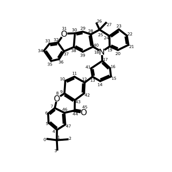 CC(C)(C)c1ccc2oc3ccc(-c4cccc(N5c6ccccc6C(C)(C)c6cc7oc8ccccc8c7cc65)c4)cc3c(=O)c2c1